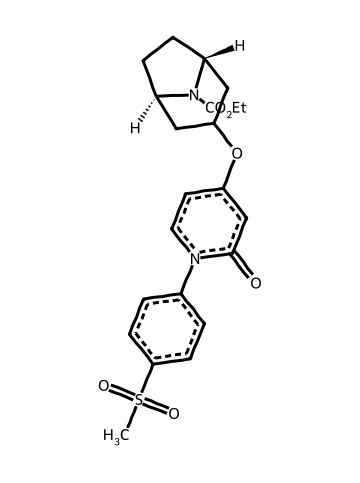 CCOC(=O)N1[C@@H]2CC[C@@H]1CC(Oc1ccn(-c3ccc(S(C)(=O)=O)cc3)c(=O)c1)C2